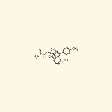 Cc1ccc(-c2nn(C(C)(C)CNC(N)=S)c3ncnc(N)c23)cc1